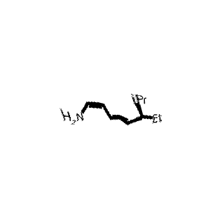 CCC(/C=C\C=C/N)C(C)C